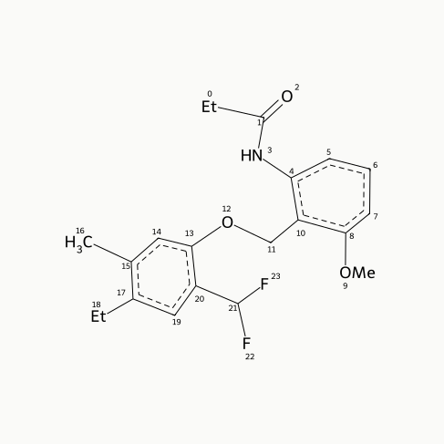 CCC(=O)Nc1cccc(OC)c1COc1cc(C)c(CC)cc1C(F)F